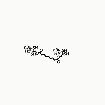 CCC[CH2][Sn]([SH])([SH])[CH](S)COC(=O)CCCCCCCC(=O)OC[CH](S)[Sn]([SH])([SH])[CH2]CCC